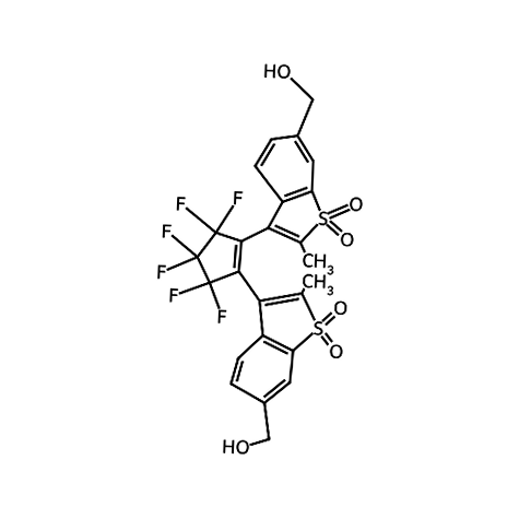 CC1=C(C2=C(C3=C(C)S(=O)(=O)c4cc(CO)ccc43)C(F)(F)C(F)(F)C2(F)F)c2ccc(CO)cc2S1(=O)=O